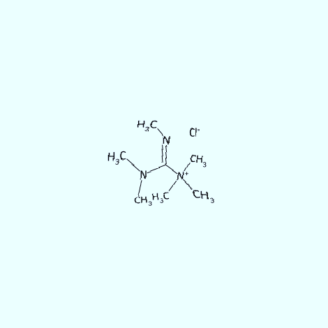 C/N=C(\N(C)C)[N+](C)(C)C.[Cl-]